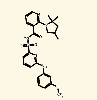 CC1CN(c2ncccc2C(=O)NS(=O)(=O)c2cccc(Nc3cccc(OC(F)(F)F)c3)n2)C(C)(C)C1